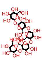 OC[C@H]1O[C@H](O[C@H]2O[C@H](CO)[C@@H](O[C@H]3O[C@H](CO)[C@@H](O[C@H]4O[C@H](CO)[C@@H](O[C@H]5O[C@H](CO)[C@@H](O)[C@H](O)[C@H]5O)[C@H](O)[C@H]4O)[C@H](O)[C@H]3O)[C@H](O)[C@H]2O)[C@H](O)[C@@H](O)[C@@H]1O